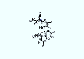 C#C/C(=C\SC(=C)[C@H](O)C[C@@H](NC(=O)[C@@H](N=[N+]=[N-])[C@@H](C)CC)C(C)C)C(=O)OC